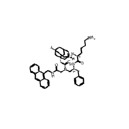 NCCCC[C@H](N)C(=O)N[C@@H](Cc1ccccc1)CN(CC(=O)NCc1c2ccccc2cc2ccccc12)C(=O)C[C@]12CC3C[C@H](C[C@H](C3)C1)C2